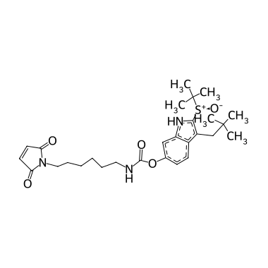 CC(C)(C)Cc1c([S@+]([O-])C(C)(C)C)[nH]c2cc(OC(=O)NCCCCCCN3C(=O)C=CC3=O)ccc12